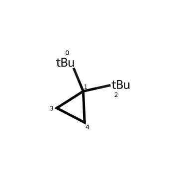 CC(C)(C)C1(C(C)(C)C)CC1